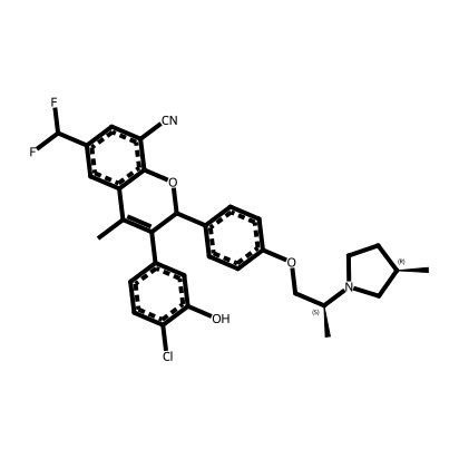 CC1=C(c2ccc(Cl)c(O)c2)C(c2ccc(OC[C@H](C)N3CC[C@@H](C)C3)cc2)Oc2c(C#N)cc(C(F)F)cc21